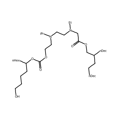 CCCCCCCCCCCCC(CCCCCCCCCC)COC(=O)CN(CC)CCN(CCOC(=O)OC(CCCCO)CCCCCC)C(C)C